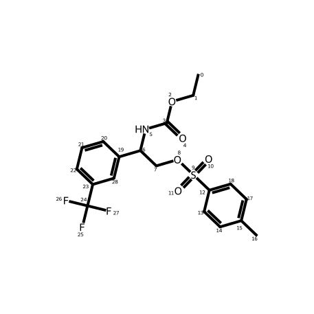 CCOC(=O)NC(COS(=O)(=O)c1ccc(C)cc1)c1cccc(C(F)(F)F)c1